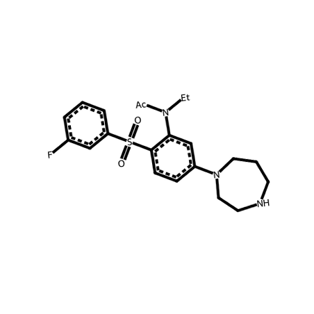 CCN(C(C)=O)c1cc(N2CCCNCC2)ccc1S(=O)(=O)c1cccc(F)c1